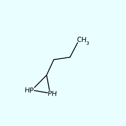 CCCC1PP1